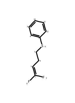 FC(F)=CCCSc1ccccc1